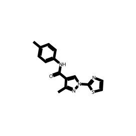 Cc1ccc(NC(=O)c2cn(-c3nccs3)nc2C)cc1